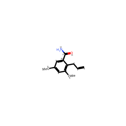 C=CCc1c(OC)cc(OC)cc1C(N)=O